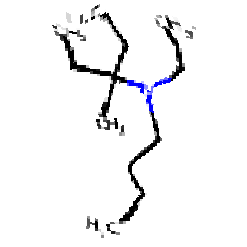 [CH2]CN(CCCC)C(C)(CC)CC